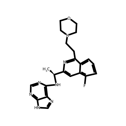 C[C@H](Nc1ncnc2[nH]cnc12)c1cc2c(F)cccc2c(CCN2CCOCC2)n1